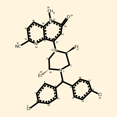 CC[C@H]1CN(C(c2ccc(Cl)cc2)c2ccc(Cl)cc2)[C@H](CC)CN1c1cc(=O)n(C)c2ccc(C#N)nc12